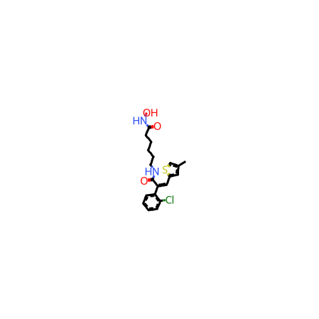 Cc1csc(C=C(C(=O)NCCCCCC(=O)NO)c2ccccc2Cl)c1